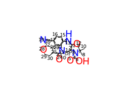 C[C@H]1[C@H](N(C(=O)O)C(C)(C)C)C(=O)Nc2ccc(C#N)cc2N1C(=O)C1CCOCC1